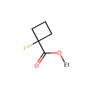 CCOC(=O)C1(F)CCC1